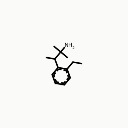 CCc1ccccc1C(C)C(C)(C)N